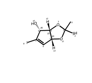 CC1(S)O[C@@H]2[C@@H](C=C(I)[C@@H]2O)O1